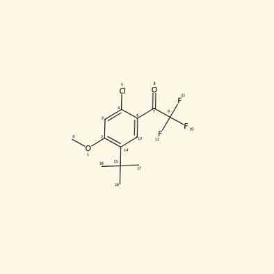 COc1cc(Cl)c(C(=O)C(F)(F)F)cc1C(C)(C)C